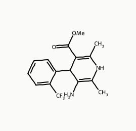 COC(=O)C1=C(C)NC(C)=C(N)C1c1ccccc1C(F)(F)F